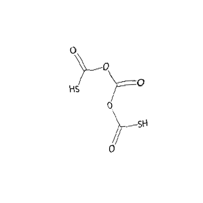 O=C(S)OC(=O)OC(=O)S